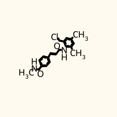 CNC(=O)c1ccc(/C=C/C(=O)Nc2c(C)cc(C)cc2CCl)cc1